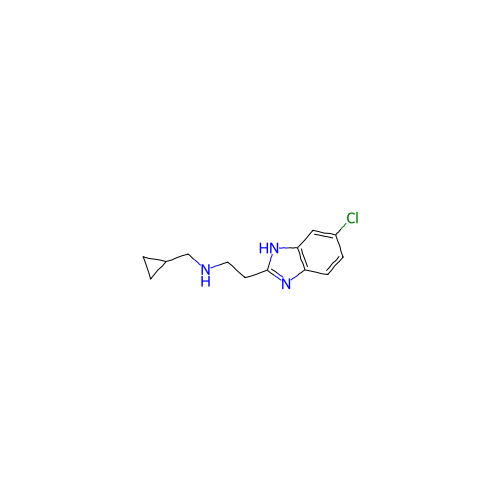 Clc1ccc2nc(CCNCC3CC3)[nH]c2c1